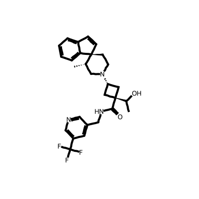 CC(O)[C@]1(C(=O)NCc2cncc(C(F)(F)F)c2)C[C@@H](N2CC[C@@]3(C=Cc4ccccc43)[C@@H](C)C2)C1